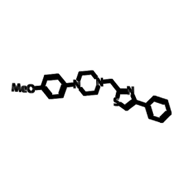 COc1ccc(N2CCN(Cc3nc(-c4ccccc4)cs3)CC2)cc1